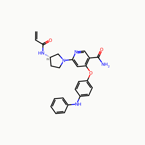 C=CC(=O)N[C@H]1CCN(c2cc(Oc3ccc(Nc4ccccc4)cc3)c(C(N)=O)cn2)C1